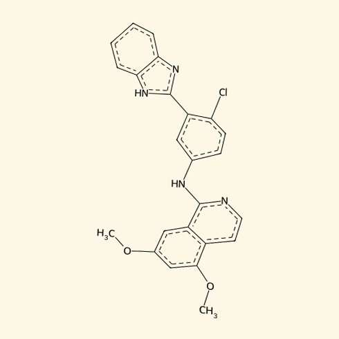 COc1cc(OC)c2ccnc(Nc3ccc(Cl)c(-c4nc5ccccc5[nH]4)c3)c2c1